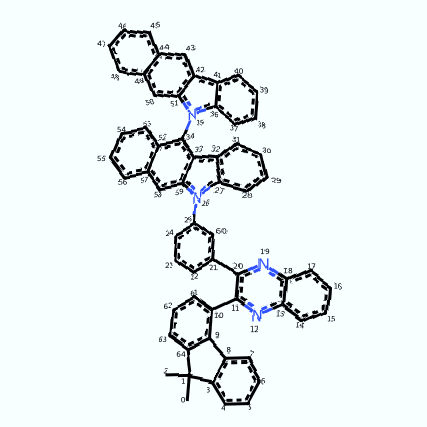 CC1(C)c2ccccc2-c2c(-c3nc4ccccc4nc3-c3cccc(-n4c5ccccc5c5c(-n6c7ccccc7c7cc8ccccc8cc76)c6ccccc6cc54)c3)cccc21